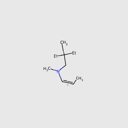 C/C=C\N(C)CC(C)(CC)CC